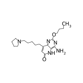 CCCCOc1nc(N)c2[nH]c(=O)cc(CCCCCN3CCCC3)c2n1